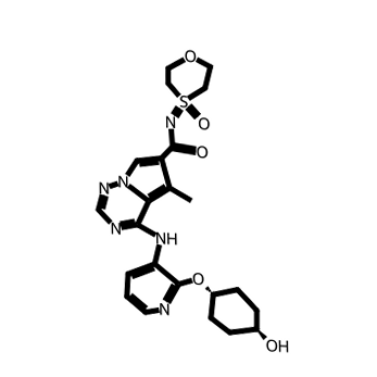 Cc1c(C(=O)N=S2(=O)CCOCC2)cn2ncnc(Nc3cccnc3O[C@H]3CC[C@H](O)CC3)c12